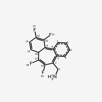 NCC1=c2ccccc2=C2C(F)=C(F)C=CC2C(F)=C1F